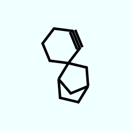 C1#CC2(CCC1)CC1CCC2C1